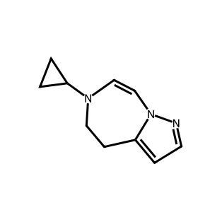 C1=Cn2nccc2CCN1C1CC1